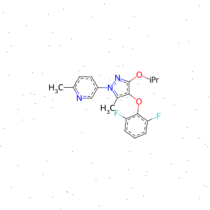 Cc1ccc(-n2nc(OC(C)C)c(Oc3c(F)cccc3F)c2C)cn1